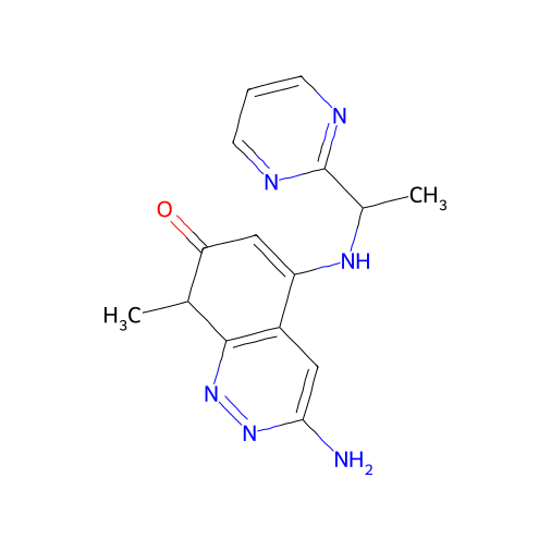 CC(NC1=CC(=O)C(C)c2nnc(N)cc21)c1ncccn1